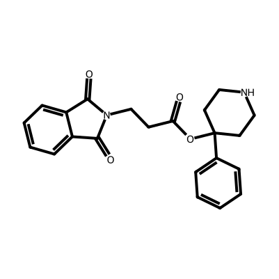 O=C(CCN1C(=O)c2ccccc2C1=O)OC1(c2ccccc2)CCNCC1